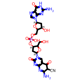 N#CC1C(=O)c2cn([C@H]3C[C@@H](OP(=O)(O)OCC4O[C@@H](n5cnc6c(=O)[nH]c(N)nc65)C[C@H]4O)C(CO)O3)c(=O)nc2N=C1N